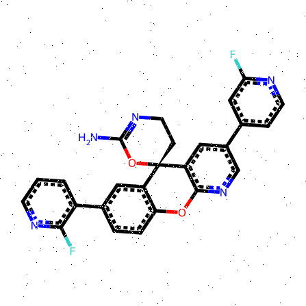 NC1=NCC[C@]2(O1)c1cc(-c3cccnc3F)ccc1Oc1ncc(-c3ccnc(F)c3)cc12